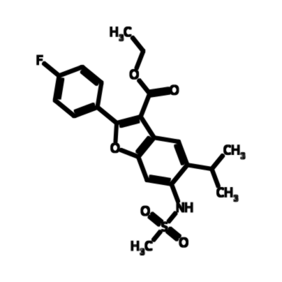 CCOC(=O)c1c(-c2ccc(F)cc2)oc2cc(NS(C)(=O)=O)c(C(C)C)cc12